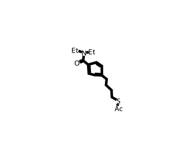 CCN(CC)C(=O)c1ccc(CCCCSC(C)=O)cc1